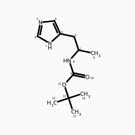 CC(Cc1cnc[nH]1)NC(=O)OC(C)(C)C